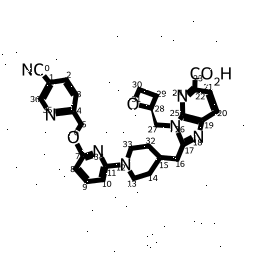 N#Cc1ccc(COc2cccc(N3CCC(Cc4nc5ccc(C(=O)O)nc5n4C[C@@H]4CCO4)CC3)n2)nc1